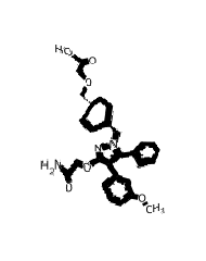 COc1cccc(-c2c(OCC(N)=O)nn(C[C@H]3CC[C@H](COCC(=O)O)CC3)c2-c2ccccc2)c1